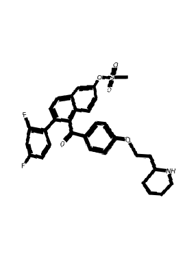 CS(=O)(=O)Oc1ccc2c(C(=O)c3ccc(OCCC4CCCCN4)cc3)c(-c3ccc(F)cc3F)ccc2c1